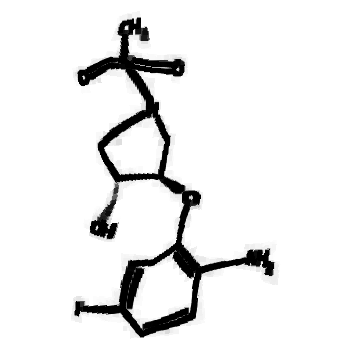 CS(=O)(=O)N1C[C@@H](O)[C@H](Oc2cc(F)ccc2N)C1